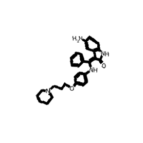 Nc1ccc2c(c1)/C(=C(/Nc1ccc(OCCCN3CCCCC3)cc1)c1ccccc1)C(=O)N2